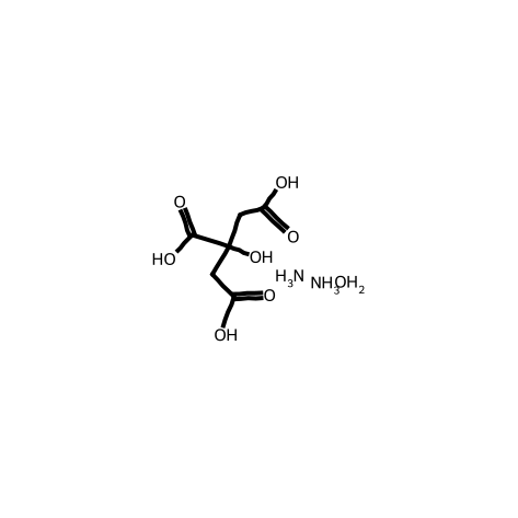 N.N.O.O=C(O)CC(O)(CC(=O)O)C(=O)O